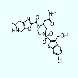 CC1Cc2nc(C(=O)N3CCN(S(=O)(=O)c4sc5cc(Cl)ccc5c4CO)CC3CC(=O)N(C)C)oc2CN1